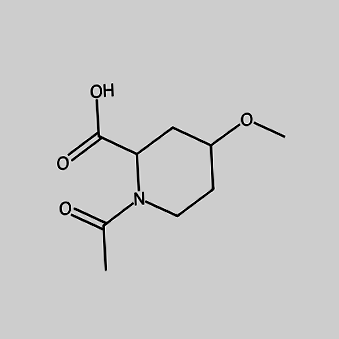 COC1CCN(C(C)=O)C(C(=O)O)C1